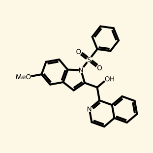 COc1ccc2c(c1)cc(C(O)c1nccc3ccccc13)n2S(=O)(=O)c1ccccc1